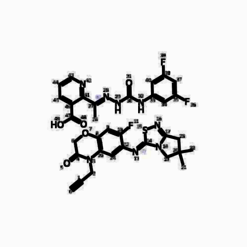 C#CCN1C(=O)COc2cc(F)c(/N=c3\snc4n3CC(C)(C)C4)cc21.C/C(=N\NC(=O)Nc1cc(F)cc(F)c1)c1ncccc1C(=O)O